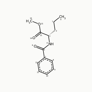 CCC[C@H](NC(=O)c1ccccc1)C(=O)OC